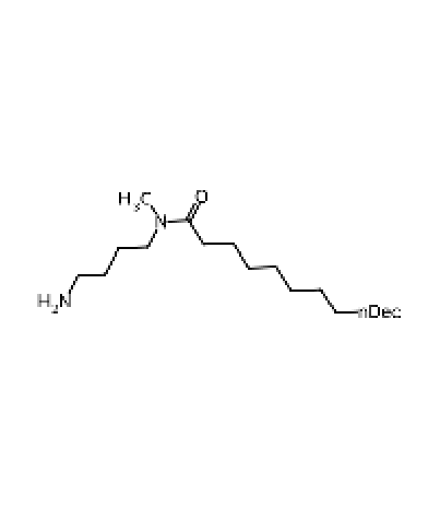 CCCCCCCCCCCCCCCCCC(=O)N(C)CCCCN